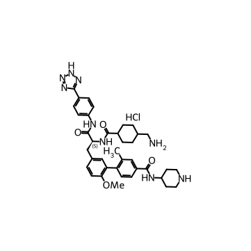 COc1ccc(C[C@H](NC(=O)C2CCC(CN)CC2)C(=O)Nc2ccc(-c3nn[nH]n3)cc2)cc1-c1ccc(C(=O)NC2CCNCC2)cc1C.Cl